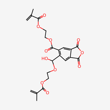 C=C(C)C(=O)OCCOC(=O)c1cc2c(cc1C(O)OCCOC(=O)C(=C)C)C(=O)OC2=O